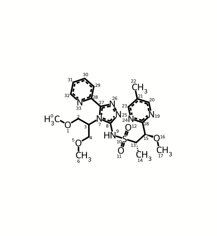 COCC(COC)n1c(NS(=O)(=O)[C@@H](C)[C@H](OC)c2ncc(C)cn2)nnc1-c1ccccn1